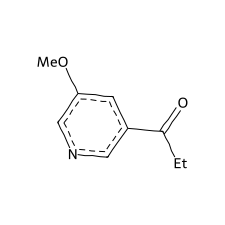 CCC(=O)c1cncc(OC)c1